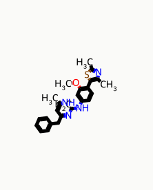 C=C(/N=C(\C=C(\C)N)Cc1ccccc1)Nc1ccc(-c2sc(C)nc2C)c(OC)c1